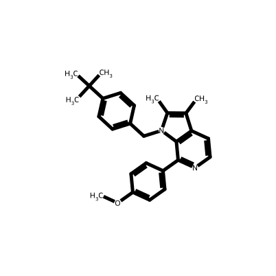 COc1ccc(-c2nccc3c(C)c(C)n(Cc4ccc(C(C)(C)C)cc4)c23)cc1